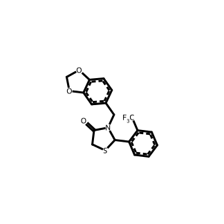 O=C1CSC(c2ccccc2C(F)(F)F)N1Cc1ccc2c(c1)OCO2